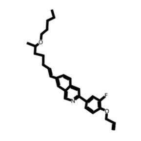 C=CCOc1ccc(-c2cc3ccc(/C=C/CCCC(C)OCCCCC)cc3cn2)cc1F